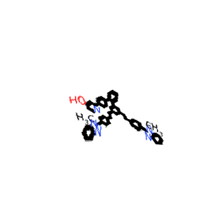 Cn1c(-c2ccc(CCc3cc(CCc4ccc(-c5nc6ccccc6n5C)cc4)cc(-c4ccccc4-c4ccc(-c5cc(O)ccn5)cc4)c3)cc2)nc2ccccc21